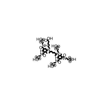 C\C(=C/C=C/C(C)=[N+](\CCCS(=O)(=O)O)c1cc(C(=O)NCCS(=O)(=O)O)cc(C(=O)NCCS(=O)(=O)O)c1C)N(CCCCCC(=O)O)c1cc(C(=O)NCCS(=O)(=O)O)cc(C(=O)NCCS(=O)(=O)O)c1C